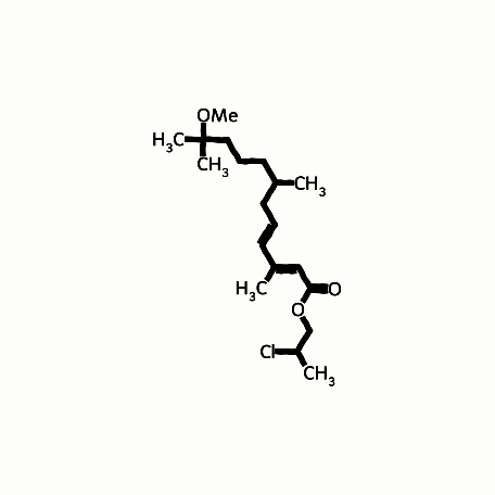 COC(C)(C)CCCC(C)CC=CC(C)=CC(=O)OCC(C)Cl